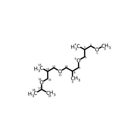 COCC(C)COCC(C)COCC(C)COC(C)C